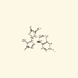 CN1C[C@H](c2cnn(C)c2Cl)[C@@H](C(=O)Nc2ccc(F)cc2F)C1=O